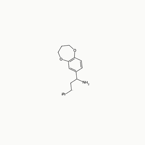 CC(C)[CH]CC(N)c1ccc2c(c1)OCCCO2